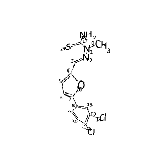 CN(N=Cc1ccc(-c2ccc(Cl)c(Cl)c2)o1)C(N)=S